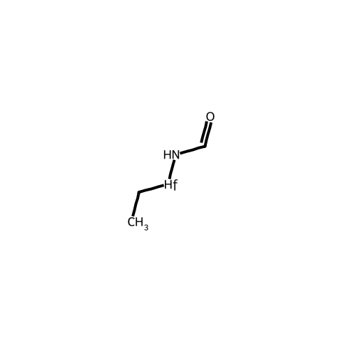 C[CH2][Hf][NH]C=O